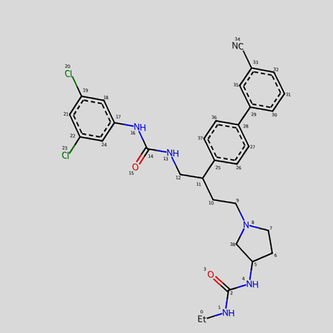 CCNC(=O)NC1CCN(CCC(CNC(=O)Nc2cc(Cl)cc(Cl)c2)c2ccc(-c3cccc(C#N)c3)cc2)C1